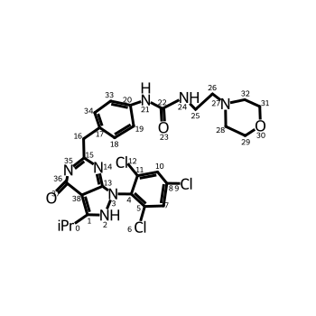 CC(C)c1[nH]n(-c2c(Cl)cc(Cl)cc2Cl)c2nc(Cc3ccc(NC(=O)NCCN4CCOCC4)cc3)nc(=O)c1-2